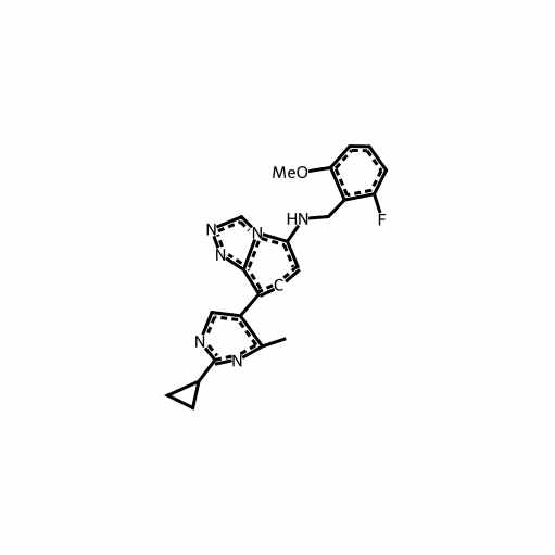 COc1cccc(F)c1CNc1ccc(-c2cnc(C3CC3)nc2C)c2nncn12